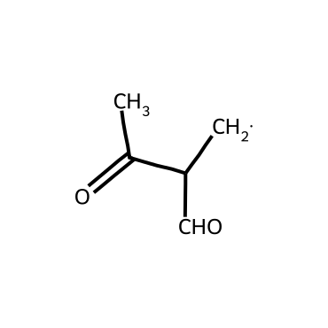 [CH2]C(C=O)C(C)=O